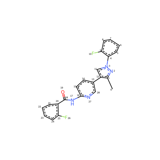 Cc1nn(-c2ccccc2F)cc1-c1ccc(NC(=O)c2ccccc2F)nc1